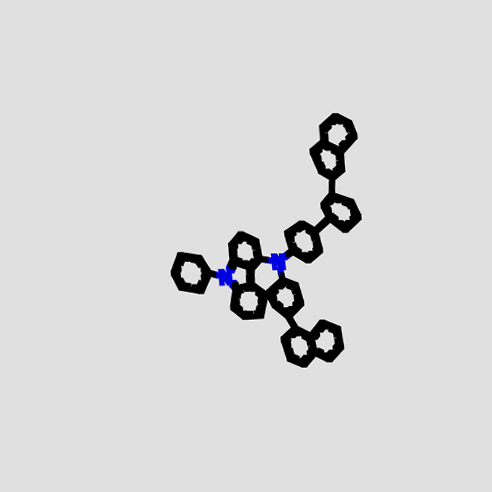 c1ccc(-n2c3ccccc3c3c(N(c4ccc(-c5cccc(-c6ccc7ccccc7c6)c5)cc4)c4ccc(-c5cccc6ccccc56)cc4)cccc32)cc1